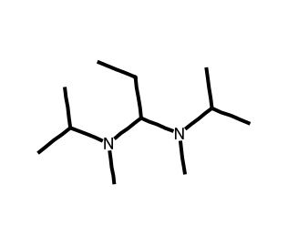 CCC(N(C)C(C)C)N(C)C(C)C